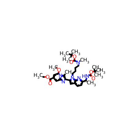 CCOC(=O)c1cc(OC)n2c(C)c(-c3cc4ccc([C@@H](C)NC(=O)OC(C)(C)C)nc4n3CCCCN(C)C(=O)OC(C)(C)C)nc2c1